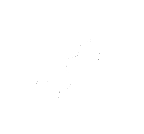 COC1CC(CC2CCC(C)C(OC)C2)CCC1C